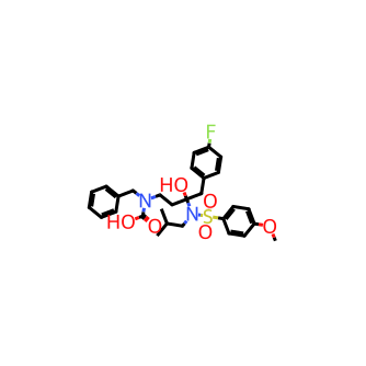 COc1ccc(S(=O)(=O)N(CC(C)C)C(O)(CCN(Cc2ccccc2)C(=O)O)Cc2ccc(F)cc2)cc1